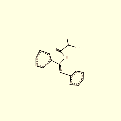 CCC(OC)C(=O)NC(=Cc1ccccc1)c1ccccc1